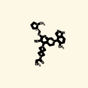 C=CC(=O)N1CC2(C1)CN(c1c(C#N)c(OC[C@@H]3CCCN3C)nc3c1CCN(c1c(C)ccc4[nH]ncc14)C3)C2